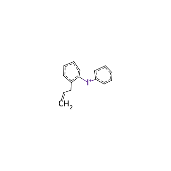 C=CCc1ccccc1[I+]c1ccccc1